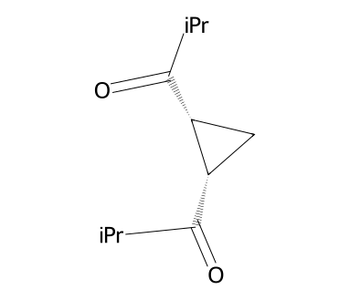 CC(C)C(=O)[C@H]1C[C@H]1C(=O)C(C)C